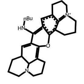 CCCCNC1=c2cc3c4c(c2OC2=C5CCCN6CCCC(C=C21)C56)CCC[N+]=4CCC3